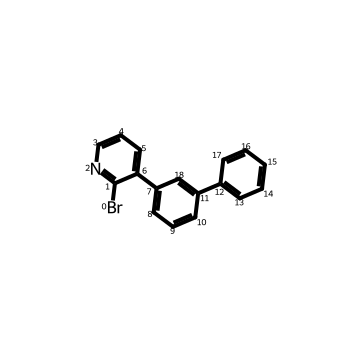 Brc1ncccc1-c1cccc(-c2ccccc2)c1